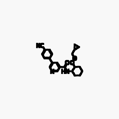 N#Cc1ccc(-c2cncc(C(=O)N[C@H]3CCCC[C@@H]3OOCC3CC3)c2)cc1